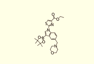 CCOC(=O)c1csc(-n2cc(B3OC(C)(C)C(C)(C)O3)c3cc(CN4CCOCC4)ccc32)n1